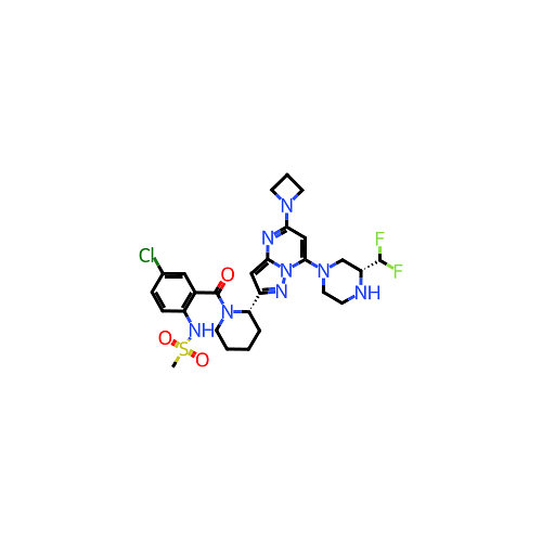 CS(=O)(=O)Nc1ccc(Cl)cc1C(=O)N1CCCC[C@H]1c1cc2nc(N3CCC3)cc(N3CCN[C@@H](C(F)F)C3)n2n1